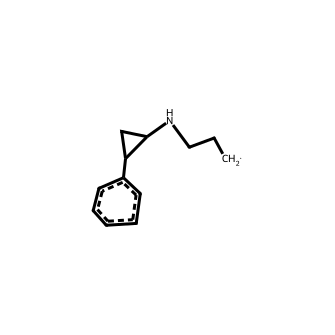 [CH2]CCNC1CC1c1ccccc1